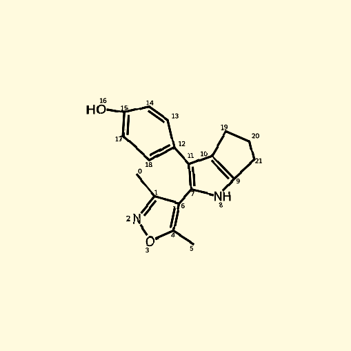 Cc1noc(C)c1-c1[nH]c2c(c1-c1ccc(O)cc1)CCC2